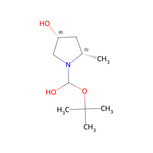 C[C@H]1C[C@@H](O)CN1C(O)OC(C)(C)C